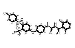 O=C(NC(=O)c1c(F)cccc1F)Nc1ccc(Oc2ccc(S(=O)(=O)c3ccc(Cl)cc3)c(C(F)(F)F)c2)cc1